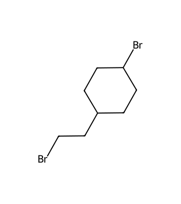 BrCCC1CCC(Br)CC1